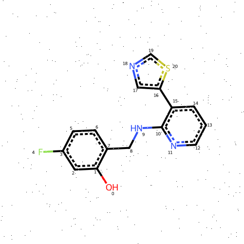 Oc1cc(F)ccc1CNc1ncccc1-c1cncs1